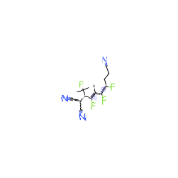 CC(/C(F)=C(/F)CCC#N)=C(/F)C(C(C#N)C#N)C(C)(C)F